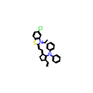 [CH]=CC1=C(N(c2ccccc2)c2ccccc2)C(=CC=C2Sc3ccc(Cl)cc3N2CC)CC1